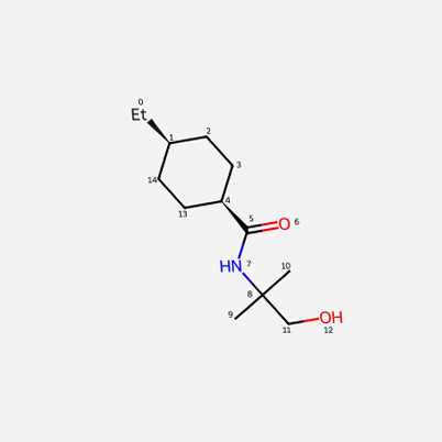 CC[C@H]1CC[C@@H](C(=O)NC(C)(C)CO)CC1